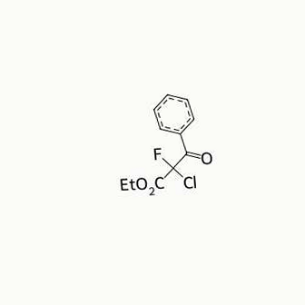 CCOC(=O)C(F)(Cl)C(=O)c1ccccc1